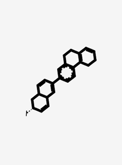 I[C@H]1C=CC2C=C(c3ccc4c(c3)CCC3=C4CCC=C3)C=CC2C1